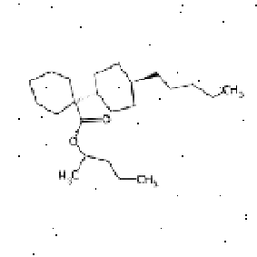 CCCCC[C@H]1CC[C@H](C2(C(=O)OC(C)CCC)CCCCC2)CC1